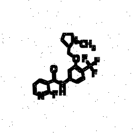 CN1CCCC1COc1cc(NC(=O)c2cccnc2F)ccc1C(F)(F)F